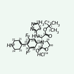 CC(C)(C)OC(=O)C(Nc1nncs1)[N@+]1(c2cc(F)c(C3=CCNCC3)c(F)c2)CCOC1=O.Cl